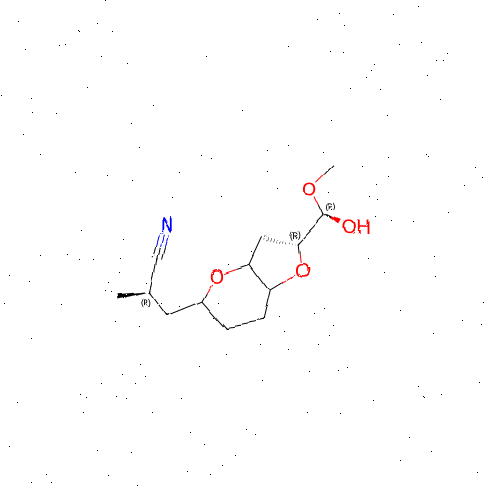 CO[C@@H](O)[C@H]1CC2OC(C[C@@H](C)C#N)CCC2O1